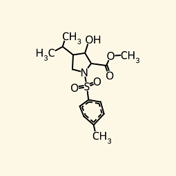 COC(=O)C1C(O)C(C(C)C)CN1S(=O)(=O)c1ccc(C)cc1